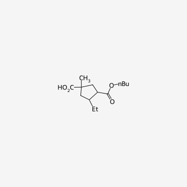 CCCCOC(=O)C1CC(C)(C(=O)O)CC1CC